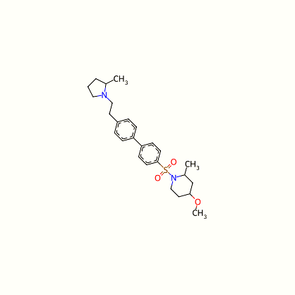 COC1CCN(S(=O)(=O)c2ccc(-c3ccc(CCN4CCCC4C)cc3)cc2)C(C)C1